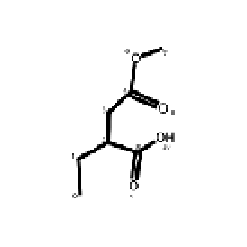 CCC(CC(=O)OC)C(=O)O